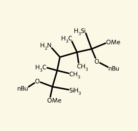 CCCCOC([SiH3])(OC)C(C)(C)C(N)C(C)(C)C([SiH3])(OC)OCCCC